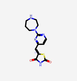 O=C1NC(=O)/C(=C/c2ccnc(N3CCCNCC3)n2)S1